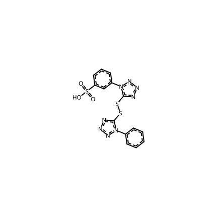 O=S(=O)(O)c1cccc(-n2nnnc2SSc2nnnn2-c2ccccc2)c1